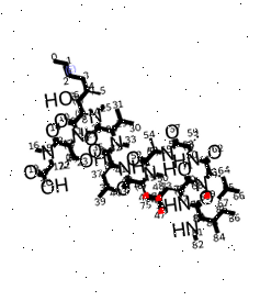 C/C=C/C[C@@H](C)[C@@H](O)[C@@H](C(=O)N[C@H](C(=O)N(C)CC(=O)O)[C@@H](C)O)N(C)C(=O)C(C(C)C)N(C)C(=O)[C@H](CC(C)C)NC(=O)[C@H](CC(C)C)N(C)C(=O)[C@@H](C)NC(=O)[C@H](C)NC(=O)[C@H](CC(C)C)N(C)C(=O)[C@H](CC(C)C)NC(=O)[C@@H](NC)C(C)CC